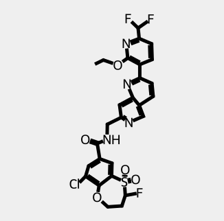 CCOc1nc(C(F)F)ccc1-c1ccc2cnc(CNC(=O)c3cc(Cl)c4c(c3)S(=O)(=O)C(F)CCO4)cc2n1